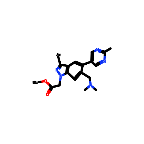 CC(=O)c1nn(CC(=O)OC(C)(C)C)c2cc(CN(C)C)c(-c3cnc(C)nc3)cc12